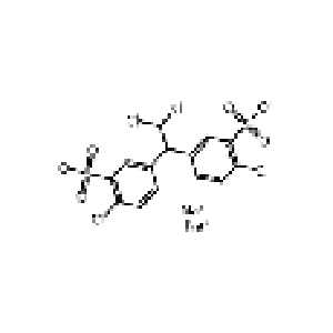 O=S(=O)([O-])c1cc(C(c2ccc(Cl)c(S(=O)(=O)[O-])c2)C(Cl)Cl)ccc1Cl.[Na+].[Na+]